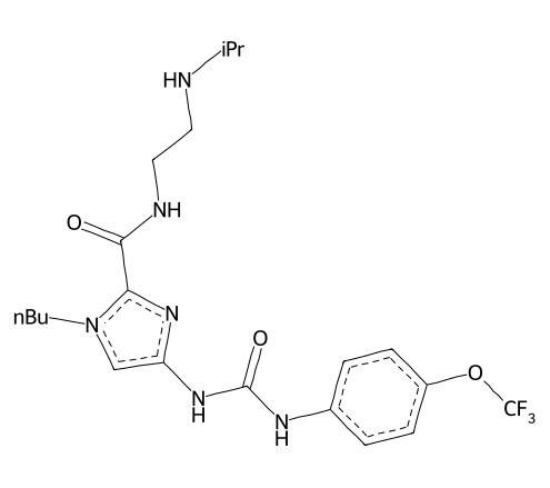 CCCCn1cc(NC(=O)Nc2ccc(OC(F)(F)F)cc2)nc1C(=O)NCCNC(C)C